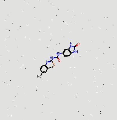 N#Cc1ccc2c(c1)CSC(NC(=O)Nc1ccc3[nH]c(=O)[nH]c3c1)=N2